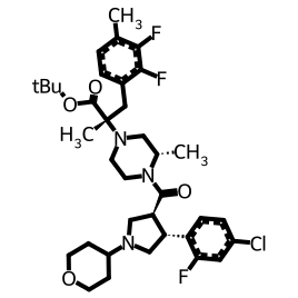 Cc1ccc(C[C@@](C)(C(=O)OC(C)(C)C)N2CCN(C(=O)[C@@H]3CN(C4CCOCC4)C[C@H]3c3ccc(Cl)cc3F)[C@@H](C)C2)c(F)c1F